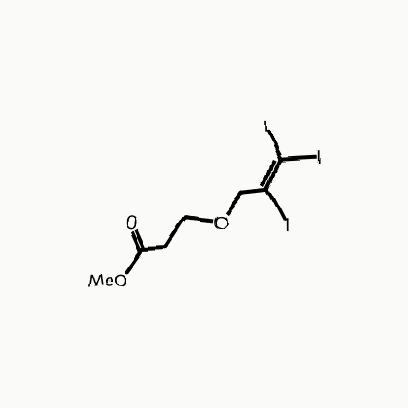 COC(=O)CCOCC(I)=C(I)I